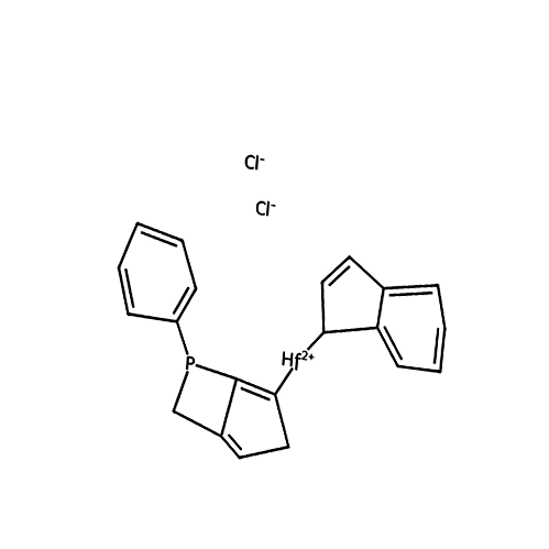 C1=C[CH]([Hf+2][C]2=C3C(=CC2)CP3c2ccccc2)c2ccccc21.[Cl-].[Cl-]